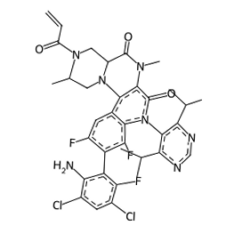 C=CC(=O)N1CC2C(=O)N(C)c3c(c4cc(F)c(-c5c(N)c(Cl)cc(Cl)c5F)c(F)c4n(-c4c(C(C)C)ncnc4C(C)C)c3=O)N2CC1C